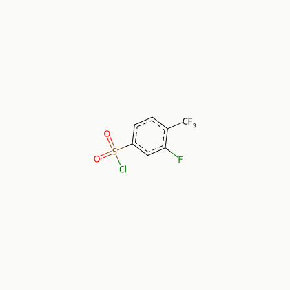 O=S(=O)(Cl)c1ccc(C(F)(F)F)c(F)c1